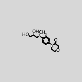 CN(C[C@@H](O)CO)c1ccc(N2CCOCC2=O)cc1